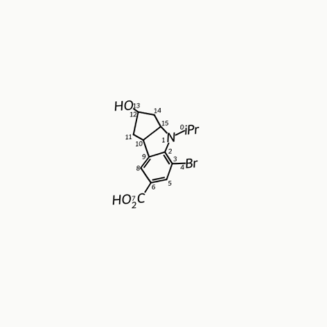 CC(C)N1c2c(Br)cc(C(=O)O)cc2C2CC(O)CC21